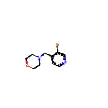 Brc1cnccc1CN1CCOCC1